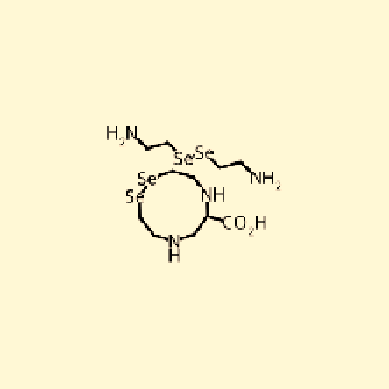 NCC[Se][Se]CCN.O=C(O)C1CNCC[Se][Se]CCN1